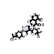 C/C(N[C@H]1CC[C@](C)(C(C)=O)CC1)=C(/C=N)C(=O)N(CC(O)c1c(Cl)cncc1Cl)CC(C)(C)C